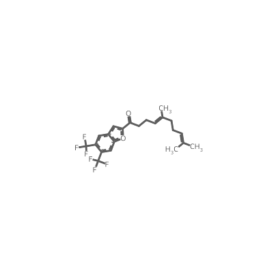 CC(C)=CCC/C(C)=C/CCC(=O)c1cc2cc(C(F)(F)F)c(C(F)(F)F)cc2o1